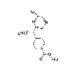 CCOC(=O)C(c1cncc(Cl)n1)C1CCN(C(=O)OC(C)(C)C)CC1